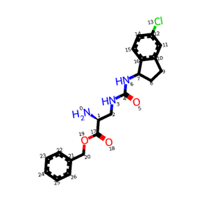 N[C@@H](CNC(=O)NC1CCc2cc(Cl)ccc21)C(=O)OCc1ccccc1